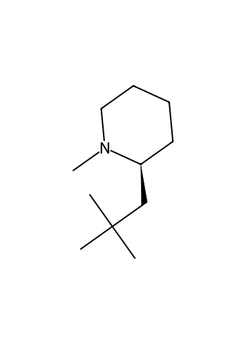 CN1CCCC[C@H]1CC(C)(C)C